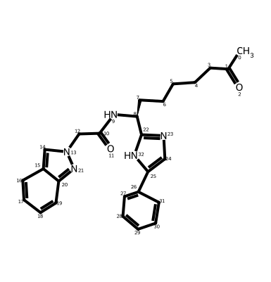 CC(=O)CCCCC[C@H](NC(=O)Cn1cc2ccccc2n1)c1ncc(-c2ccccc2)[nH]1